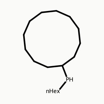 CCCCCCPC1CCCCCCCCCCC1